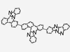 c1ccc2c(c1)ncn1c3ccc(-c4ccc5c6ccc7cc(-c8ccc9c%10ccccc%10c%10nc%11ccccc%11n%10c9c8)ccc7c6c6nc7ccccc7n6c5c4)cc3nc21